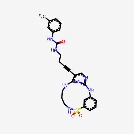 O=C(NCCC#Cc1cnc2nc1NCCCNS(=O)(=O)c1cccc(c1)N2)Nc1cccc(C(F)(F)F)c1